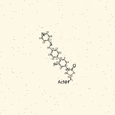 CC(=O)NC[C@@H]1CC(=O)N(c2ccc(-c3ccc(CSc4ccncc4)cc3)c(F)c2)C1